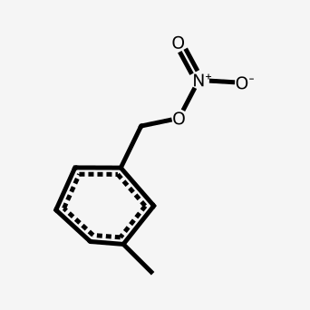 Cc1cccc(CO[N+](=O)[O-])c1